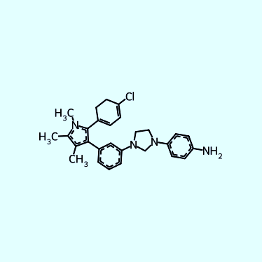 Cc1c(-c2cccc(N3CCN(c4ccc(N)cc4)C3)c2)c(C2=CC=C(Cl)CC2)n(C)c1C